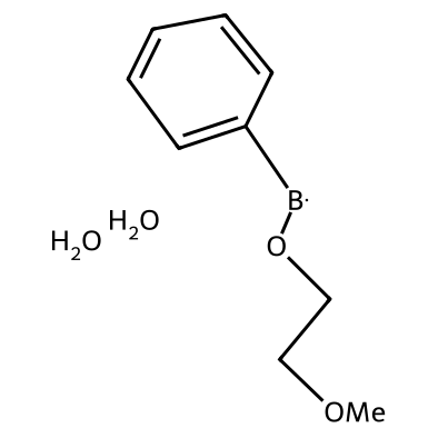 COCCO[B]c1ccccc1.O.O